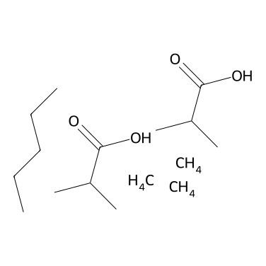 C.C.C.CC(C)C(=O)O.CC(C)C(=O)O.CCCCC